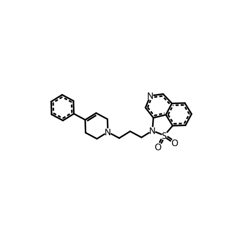 O=S1(=O)c2cccc3cncc(c23)N1CCCN1CC=C(c2ccccc2)CC1